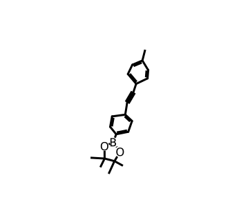 Cc1ccc(C#Cc2ccc(B3OC(C)(C)C(C)(C)O3)cc2)cc1